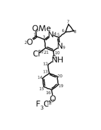 COC(=O)c1nc(C2CC2)nc(NCc2ccc(OC(F)(F)F)cc2)c1Cl